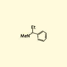 CC[C](NC)c1ccccc1